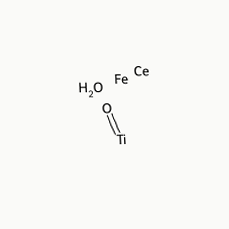 O.[Ce].[Fe].[O]=[Ti]